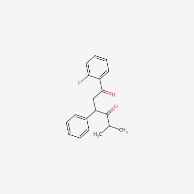 CC(C)C(=O)C(CC(=O)c1ccccc1F)c1ccccc1